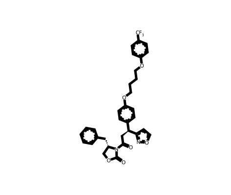 O=C(C[C@@H](c1ccc(OCCCCOc2ccc(C(F)(F)F)cc2)cc1)c1ccon1)N1C(=O)OC[C@@H]1Cc1ccccc1